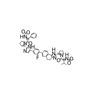 COC(=O)N[C@H](C(=O)N1CCC[C@H]1c1nc2c([nH]1)-c1ccc(-c3ccc(-c4cnc([C@@H]5CCCN5C(=O)[C@H](NC(=O)OC)c5ccccc5)[nH]4)cc3F)cc1CC2)C(C)C